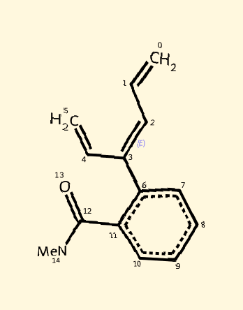 C=C/C=C(\C=C)c1ccccc1C(=O)NC